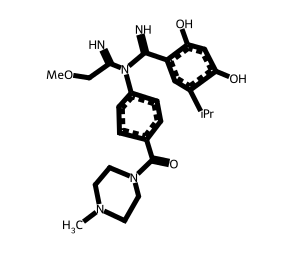 COCC(=N)N(C(=N)c1cc(C(C)C)c(O)cc1O)c1ccc(C(=O)N2CCN(C)CC2)cc1